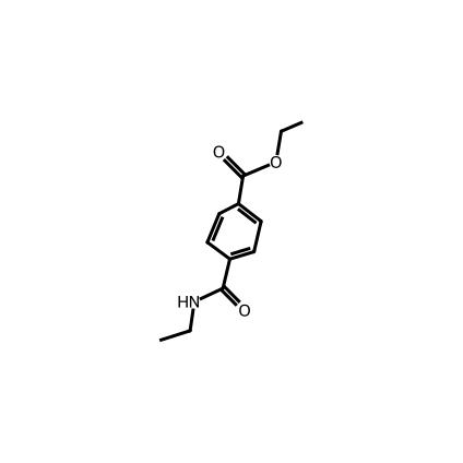 CCNC(=O)c1ccc(C(=O)OCC)cc1